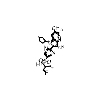 Cc1cnc2c(C#N)c(-c3ncc(S(=O)(=O)NC(CF)CF)cn3)n(C3CCCC3)c2c1